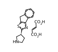 O=C(O)C=CC(=O)O.c1ccc2c(c1)Cc1sc([C@H]3CCNC3)nc1-2